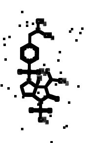 CC(C)[C@H]1C(=O)N(S(C)(=O)=O)C2=CCN(S(=O)(=O)c3ccc(CN(C)C)cc3)[C@@H]21